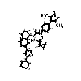 Cc1n[nH]c(C)c1-c1ccc(NC(=O)[C@@H](NC(=O)C2(F)CC2)[C@@H]2CCCc3ccc(-c4cnn(C5CCOCC5)c4)cc32)cc1